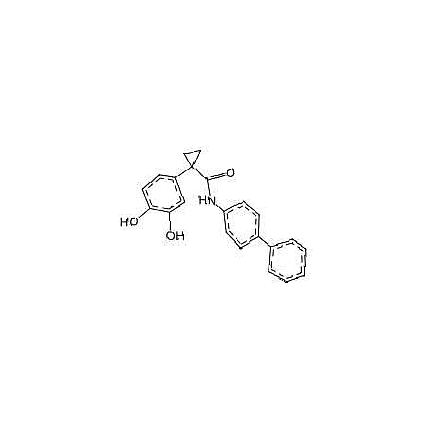 O=C(Nc1ccc(-c2ccccc2)cc1)C1(c2ccc(O)c(O)c2)CC1